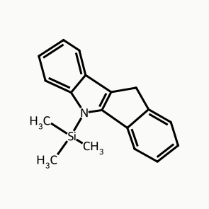 C[Si](C)(C)n1c2c(c3ccccc31)Cc1ccccc1-2